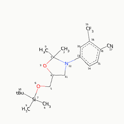 CC1(C)OC(CO[Si](C)(C)C(C)(C)C)CN1c1ccc(C#N)c(C(F)(F)F)c1